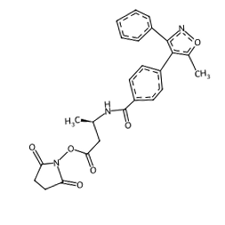 Cc1onc(-c2ccccc2)c1-c1ccc(C(=O)N[C@H](C)CC(=O)ON2C(=O)CCC2=O)cc1